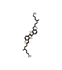 CC(C)CCCC(C)CCc1cc2c(ccc3c2sc2c4ccc5c(c4sc32)CC(CCC(C)CCCC(C)C)S5)s1